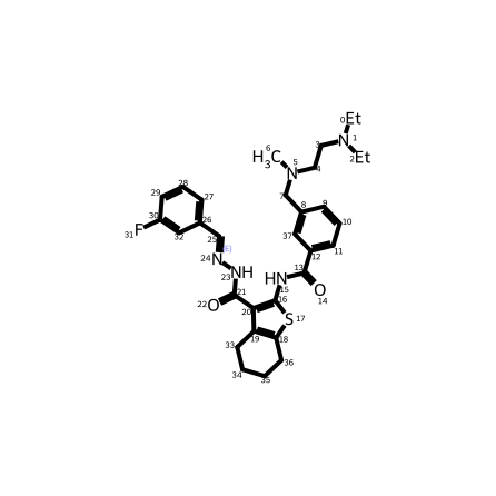 CCN(CC)CCN(C)Cc1cccc(C(=O)Nc2sc3c(c2C(=O)N/N=C/c2cccc(F)c2)CCCC3)c1